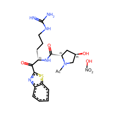 CC(=O)N1C[C@H](O)C[C@H]1C(=O)N[C@@H](CCCNC(=N)N)C(=O)c1nc2ccccc2s1.O=[N+]([O-])O